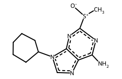 C[S+]([O-])c1nc(N)c2ncn(C3CCCCC3)c2n1